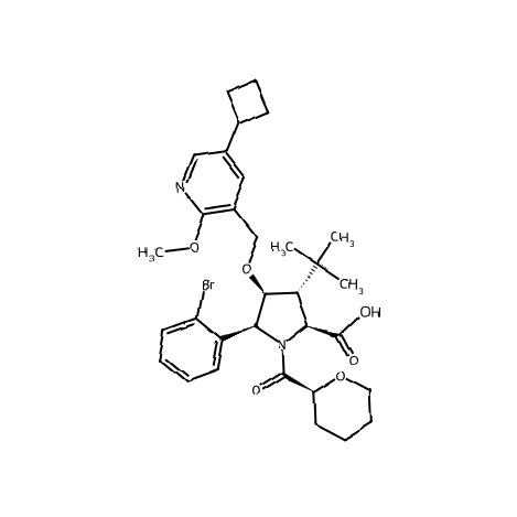 COc1ncc(C2CCC2)cc1CO[C@H]1[C@H](C(C)(C)C)[C@@H](C(=O)O)N(C(=O)[C@@H]2CCCCO2)[C@H]1c1ccccc1Br